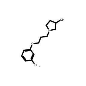 Cc1cccc(OCCCN2CCC(O)C2)c1